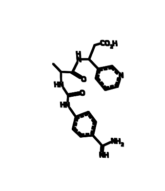 CC(NC(=O)Nc1ccc(C(=N)N)cc1)C(=O)NC(CC(=O)O)c1cccnc1